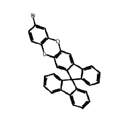 Brc1ccc2c(c1)Oc1cc3c(cc1O2)C1(c2ccccc2-c2ccccc21)c1ccccc1-3